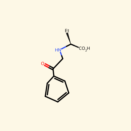 CC[C@H](NCC(=O)c1ccccc1)C(=O)O